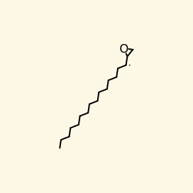 CCCCCCCCCCCCCC[CH]C1CO1